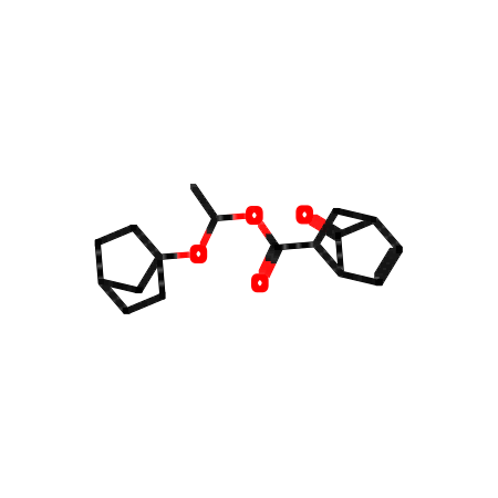 CC(OC(=O)C1CC2C=CC1C2=O)OC12CCC(CC1)C2